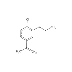 C=C(C)c1ccc(Cl)c(SCC)c1